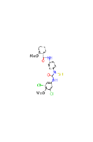 COc1ccccc1C(=O)Nc1ccc(N(S)C(=O)Nc2cc(Cl)c(OC)c(Cl)c2)cc1